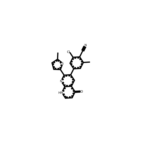 Cc1ccc(-c2nc3[nH]ccc(=O)c3cc2-c2cc(C)c(C#N)c(Cl)c2)s1